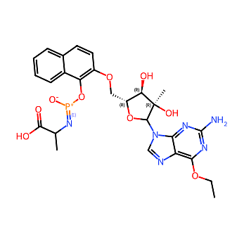 CCOc1nc(N)nc2c1ncn2C1O[C@H](COc2ccc3ccccc3c2O/[P+]([O-])=N/C(C)C(=O)O)[C@@H](O)[C@@]1(C)O